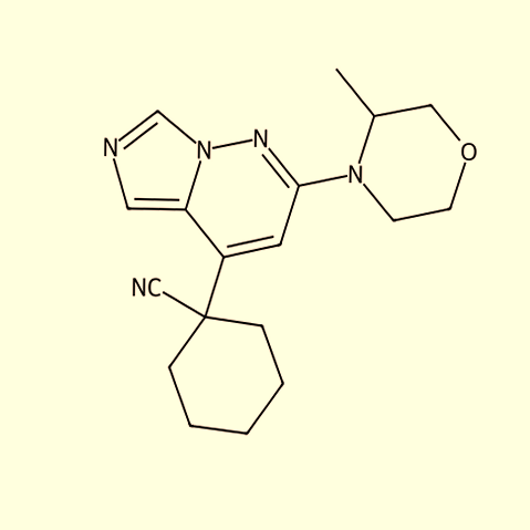 CC1COCCN1c1cc(C2(C#N)CCCCC2)c2cncn2n1